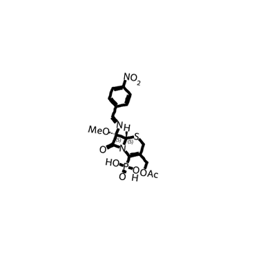 CO[C@@]1(N=Cc2ccc([N+](=O)[O-])cc2)C(=O)N2C(P(=O)(O)O)=C(COC(C)=O)CS[C@H]21